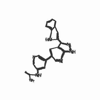 C=C(CCC)Nc1cncc(-c2cnc3[nH]nc(-c4cc5ccccc5[nH]4)c3c2)c1